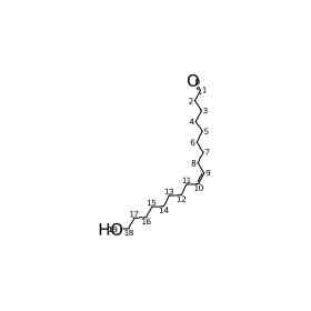 O=[C]CCCCCCC/C=C\CCCCCCCCO